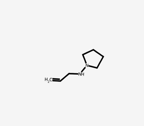 C=CCNN1CCCC1